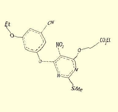 CCOC(=O)COc1nc(SC)nc(Oc2cc(C#N)cc(OCC)c2)c1[N+](=O)[O-]